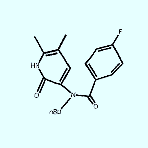 CCCCN(C(=O)c1ccc(F)cc1)c1cc(C)c(C)[nH]c1=O